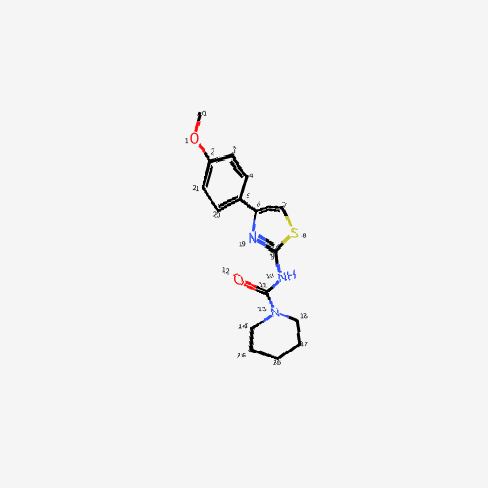 COc1ccc(-c2csc(NC(=O)N3CCCCC3)n2)cc1